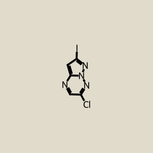 Clc1cnc2cc(I)nn2n1